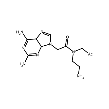 CC(=O)CN(CCN)C(=O)CN1C=NC2C(N)=NC(N)=NC21